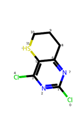 Clc1nc(Cl)c2c(n1)CCC[SH]2